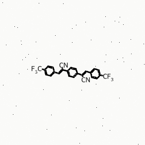 N#C/C(=C\c1ccc(C(F)(F)F)cc1)c1ccc(/C(C#N)=C/c2ccc(C(F)(F)F)cc2)cc1